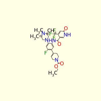 CCOC(=O)N1CC=C(c2cc(NC(=O)c3c[nH]c(=O)cc3C(F)(F)F)c(N3C[C@@H](C)N(C)[C@@H](C)C3)cc2F)CC1